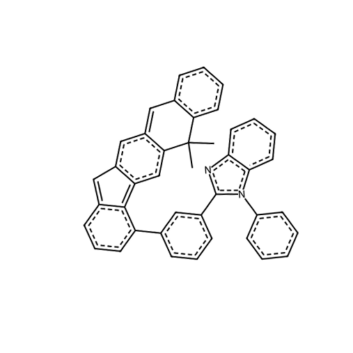 CC1(C)c2ccccc2C=c2cc3c(cc21)=c1c(-c2cccc(-c4nc5ccccc5n4-c4ccccc4)c2)cccc1=C3